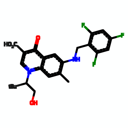 Cc1cc2c(cc1NCc1c(F)cc(F)cc1F)c(=O)c(C(=O)O)cn2C(CO)C(C)(C)C